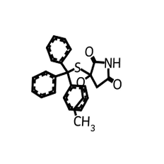 CCCOC1(SC(c2ccccc2)(c2ccccc2)c2ccccc2)CC(=O)NC1=O